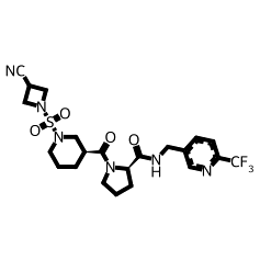 N#CC1CN(S(=O)(=O)N2CCC[C@H](C(=O)N3CCC[C@@H]3C(=O)NCc3ccc(C(F)(F)F)nc3)C2)C1